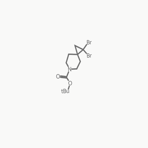 CC(C)(C)OC(=O)N1CCC2(CC1)CC2(Br)Br